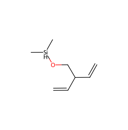 C=CC(C=C)CO[SiH](C)C